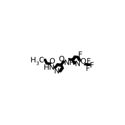 CCCC(=O)Nc1cc(C(=O)NCc2cnc(OCC(F)(F)F)c(F)c2)ccn1